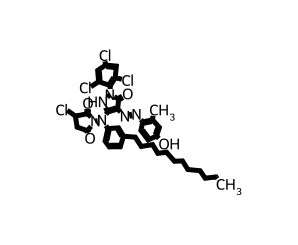 CCCCCCCCCCCCc1cccc(N(c2[nH]n(-c3c(Cl)cc(Cl)cc3Cl)c(=O)c2N=Nc2ccc(O)cc2C)N2C(=O)CC(Cl)C2=O)c1